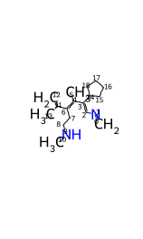 C=N/C=C(/C(C)=C(\CCNC)C(=C)C)C1CCCC1